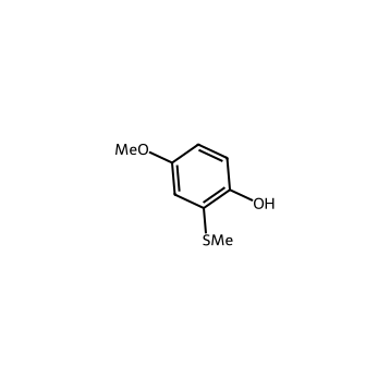 COc1ccc(O)c(SC)c1